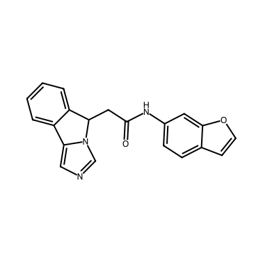 O=C(CC1c2ccccc2-c2cncn21)Nc1ccc2ccoc2c1